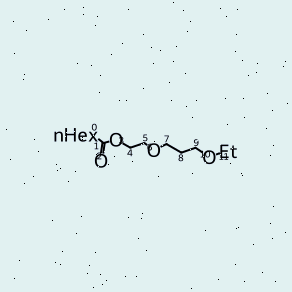 CCCCCCC(=O)OCCOCCCOCC